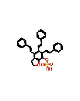 O=S(=O)(O)Oc1c(C=Cc2ccccc2)c(C=Cc2ccccc2)c(C=Cc2ccccc2)c2c1OCC2